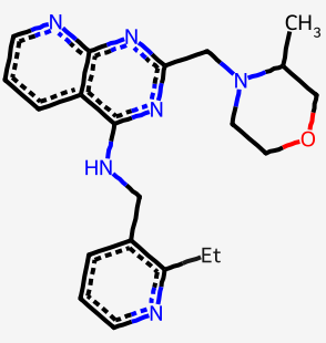 CCc1ncccc1CNc1nc(CN2CCOCC2C)nc2ncccc12